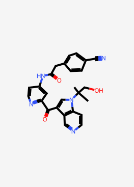 CC(C)(CO)n1cc(C(=O)c2cc(NC(=O)Cc3ccc(C#N)cc3)ccn2)c2cnccc21